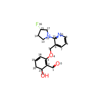 O=CC1=C(OCc2cccnc2N2CC[C@H](F)C2)C=CCC1O